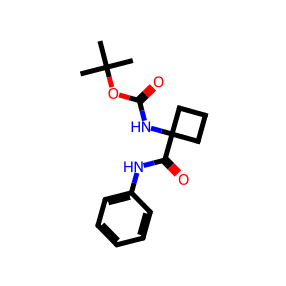 CC(C)(C)OC(=O)NC1(C(=O)Nc2ccccc2)CCC1